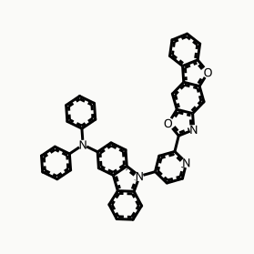 c1ccc(N(c2ccccc2)c2ccc3c(c2)c2ccccc2n3-c2ccnc(-c3nc4cc5oc6ccccc6c5cc4o3)c2)cc1